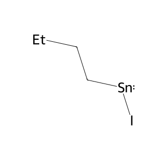 CCC[CH2][Sn][I]